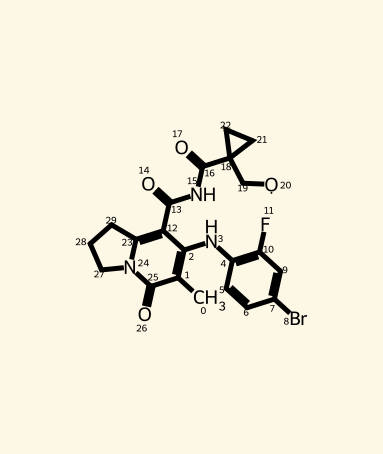 Cc1c(Nc2ccc(Br)cc2F)c(C(=O)NC(=O)C2(C[O])CC2)c2n(c1=O)CCC2